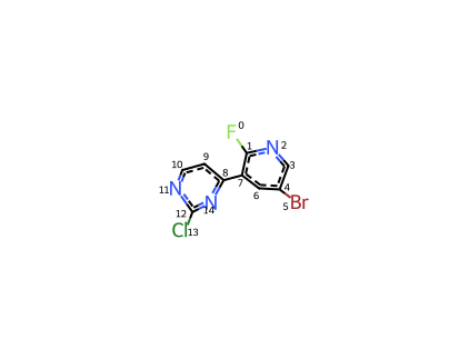 Fc1ncc(Br)cc1-c1ccnc(Cl)n1